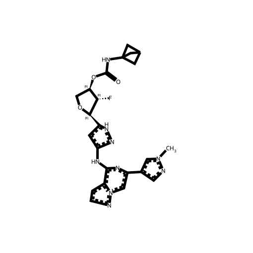 Cn1cc(-c2cn3nccc3c(Nc3cc([C@H]4OC[C@@H](OC(=O)NC56CC(C5)C6)[C@@H]4F)[nH]n3)n2)cn1